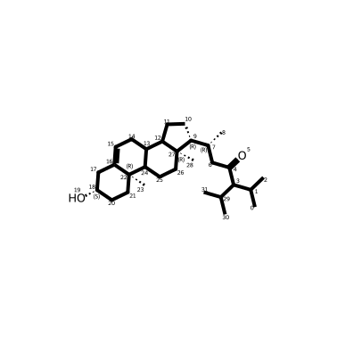 CC(C)C(C(=O)C[C@@H](C)[C@H]1CCC2C3CC=C4C[C@@H](O)CC[C@]4(C)C3CC[C@@]21C)C(C)C